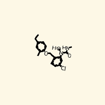 CCc1ccc(OCc2ccc(Cl)cc2N(O)C(=O)NC)c(C)c1